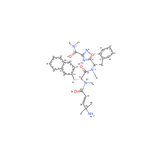 CN(C)C(=O)c1noc(C(Cc2ccccc2)N(C)C(=O)[C@@H](Cc2ccc3ccccc3c2)N(C)C(=O)C=CC(C)(C)N)n1